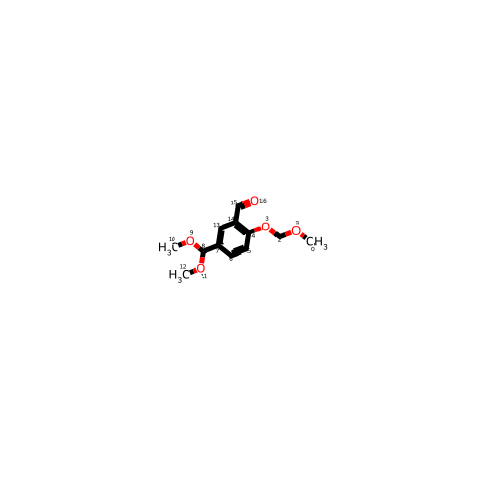 COCOc1ccc(C(OC)OC)cc1C=O